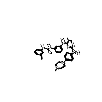 Cc1cccc(NC(=O)Nc2cccc(Nc3nc(Nc4ccc(N5CCN(C)CC5)cc4)ncc3C)c2)c1